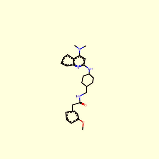 COc1cccc(CC(=O)NCC2CCC(Nc3cc(N(C)C)c4ccccc4n3)CC2)c1